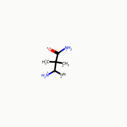 CCCC(N)C(C)(C)C(N)=O